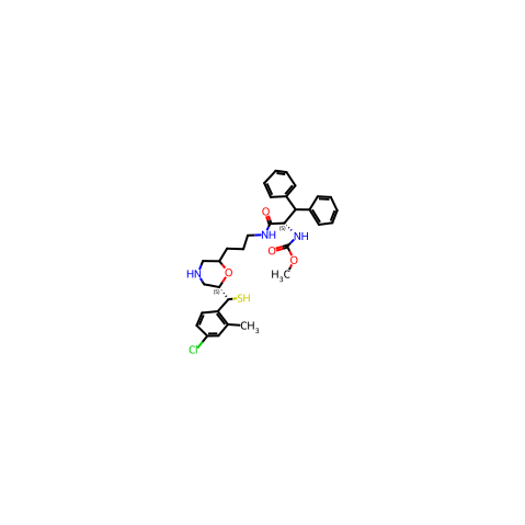 COC(=O)N[C@H](C(=O)NCCCC1CNC[C@@H](C(S)c2ccc(Cl)cc2C)O1)C(c1ccccc1)c1ccccc1